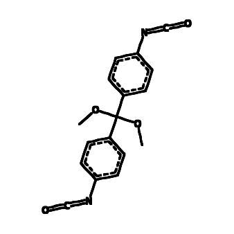 COC(OC)(c1ccc(N=C=O)cc1)c1ccc(N=C=O)cc1